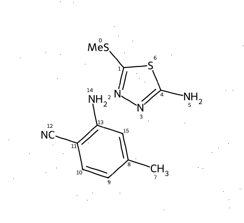 CSc1nnc(N)s1.Cc1ccc(C#N)c(N)c1